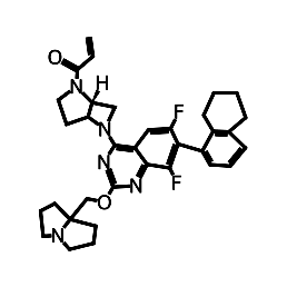 C=CC(=O)N1CCC2[C@H]1CN2c1nc(OCC23CCCN2CCC3)nc2c(F)c(-c3cccc4c3CCCC4)c(F)cc12